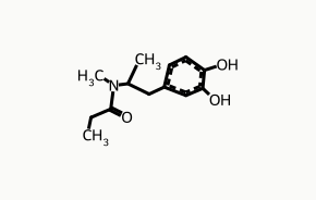 CCC(=O)N(C)C(C)Cc1ccc(O)c(O)c1